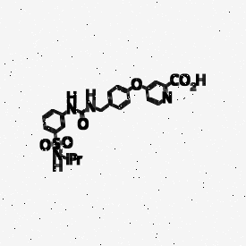 CC(C)NS(=O)(=O)c1cccc(NC(=O)NCc2ccc(Oc3ccnc(C(=O)O)c3)cc2)c1